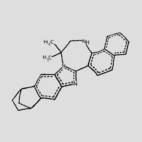 CC1(C)CNc2c(ccc3ccccc23)-c2nc3cc4c(cc3n21)C1CCC4C1